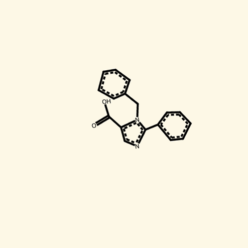 O=C(O)c1cnc(-c2ccccc2)n1Cc1ccccc1